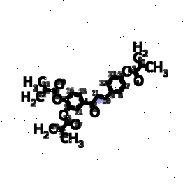 C=C(C)C(=O)Oc1ccc(/C=C/C(=O)c2ccc(OC(=O)C(=C)C)c(OC(=O)C(=C)C)c2)cc1